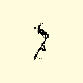 C=C(CC1CCC2(C)C(=CCC3(C)C4CCC(C(CC)CCCC(C)C)C4(C)CC[C@H]23)C1)NCCCCCCC(CCCCCCCCCC/C=C\CCCCCCCC)CN1CCCC(C)C1